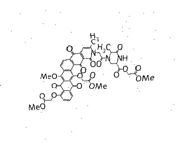 COC(=O)COC(=O)C1CN(C(=O)Cn2c(C)cc3c(=O)c4ccc5c(OC)c6c(=O)c7c(OCC(=O)OC)cccc7c(=O)c6c(OCC(=O)OC)c5c4c(=O)c3c2=O)C(C)C(=O)N1